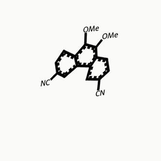 COc1c(OC)c2ccc(C#N)cc2c2cc(C#N)ccc12